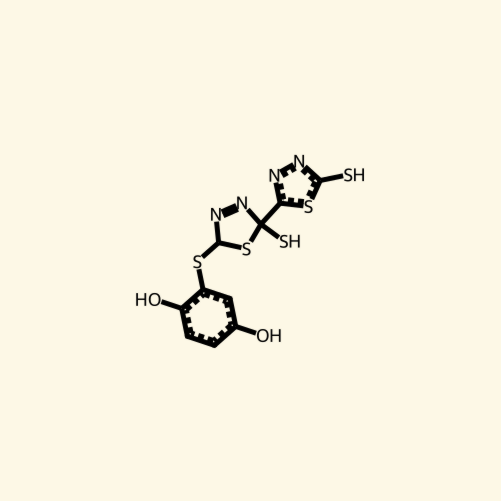 Oc1ccc(O)c(SC2N=NC(S)(c3nnc(S)s3)S2)c1